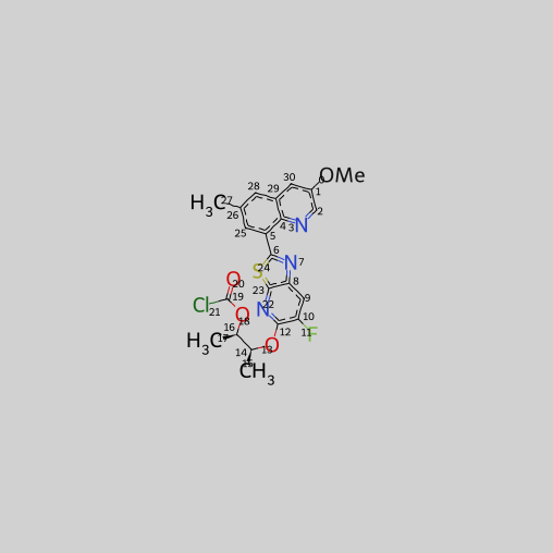 COc1cnc2c(-c3nc4cc(F)c(O[C@@H](C)[C@@H](C)OC(=O)Cl)nc4s3)cc(C)cc2c1